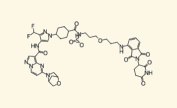 O=C1CCC(N2C(=O)c3cccc(NCCCOCCCN(C(=O)C4CCC(n5cc(NC(=O)c6cnn7ccc(N8CC9CC8CO9)nc67)c(C(F)F)n5)CC4)[SH](=O)=O)c3C2=O)C(=O)N1